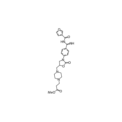 COC(=O)CCN1CCN(CC2CN(c3ccc(C(=N)NC(=O)c4ccoc4)cc3)C(=O)O2)CC1